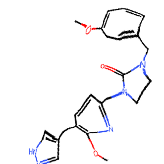 COc1cccc(CN2CCN(c3ccc(-c4cn[nH]c4)c(OC)n3)C2=O)c1